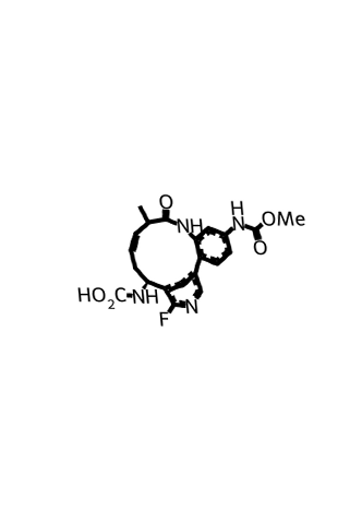 COC(=O)Nc1ccc2c(c1)NC(=O)C(C)C=CC[C@H](NC(=O)O)c1cc-2cnc1F